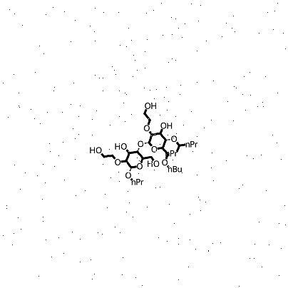 CCCCOCC1O[C@H](O[C@@H]2C(CO)O[C@H](OCCC)C(OCCO)C2O)C(OCCO)C(O)[C@@H]1OC(CCC)CCC